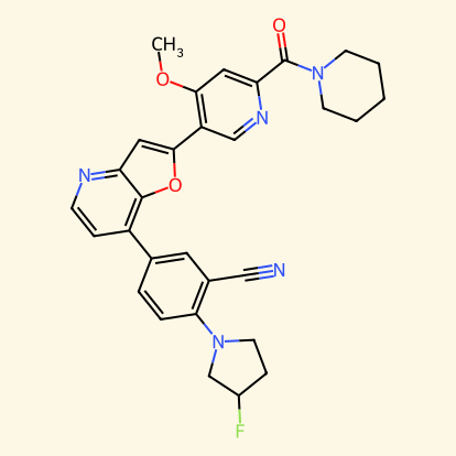 COc1cc(C(=O)N2CCCCC2)ncc1-c1cc2nccc(-c3ccc(N4CCC(F)C4)c(C#N)c3)c2o1